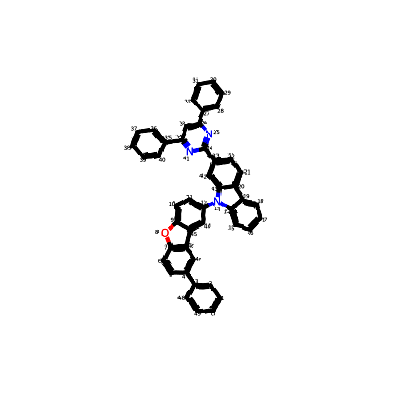 c1ccc(-c2ccc3oc4ccc(-n5c6ccccc6c6ccc(-c7nc(-c8ccccc8)cc(-c8ccccc8)n7)cc65)cc4c3c2)cc1